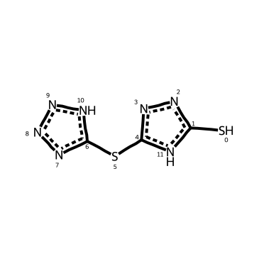 Sc1nnc(Sc2nnn[nH]2)[nH]1